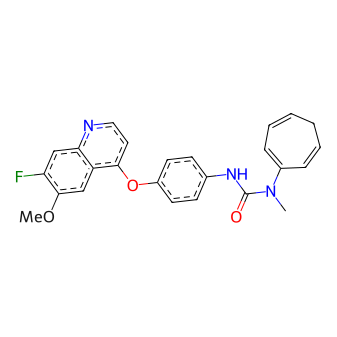 COc1cc2c(Oc3ccc(NC(=O)N(C)C4=CC=CCC=C4)cc3)ccnc2cc1F